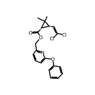 CC1(C)[C@H](C(=O)OCc2cccc(Oc3ccccc3)n2)[C@@H]1C=C(Cl)Cl